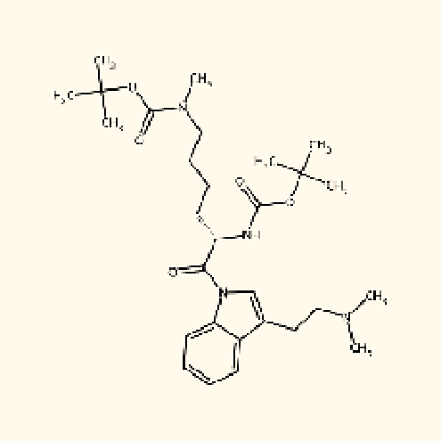 CN(C)CCc1cn(C(=O)[C@H](CCCCN(C)C(=O)OC(C)(C)C)NC(=O)OC(C)(C)C)c2ccccc12